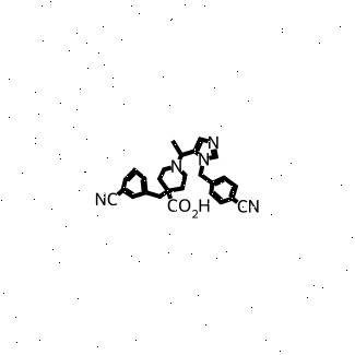 CC(c1cncn1Cc1ccc(C#N)cc1)N1CCC(Cc2cccc(C#N)c2)(C(=O)O)CC1